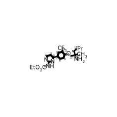 CCOC(=O)Nc1nccc(-c2ccc(OCC(C)(N)CC(C)C)c(C(F)(F)F)c2)n1